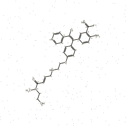 CC/C(=C(/c1ccc(OCCNC/C=C/C(=O)N(C)CCO)cc1)c1ccc(N)c(C(=N)F)c1)c1ccncc1